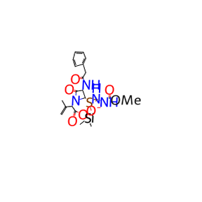 C=C(C)C(C(=O)O[Si](C)(C)C)N1C(=O)C(NC(=O)Cc2ccccc2)C1[S+]([O-])NNC(=O)OC